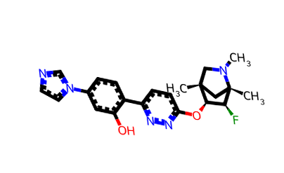 CN1C[C@]2(C)C[C@@]1(C)[C@@H](F)[C@H]2Oc1ccc(-c2ccc(-n3ccnc3)cc2O)nn1